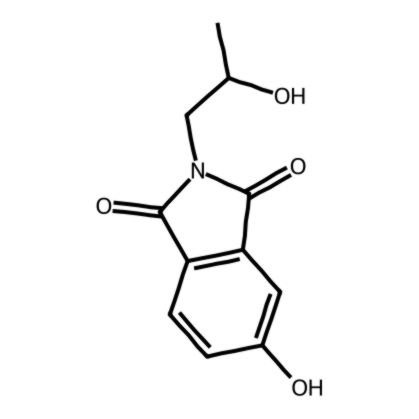 CC(O)CN1C(=O)c2ccc(O)cc2C1=O